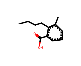 [CH2]CCCc1c(C)cccc1C(=O)O